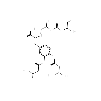 CCC(C)OC(=O)OC(C)CN[C@@H](Cc1ccc(OC(=O)CC(C)C)c(OC(=O)CC(C)C)c1)C(=O)O